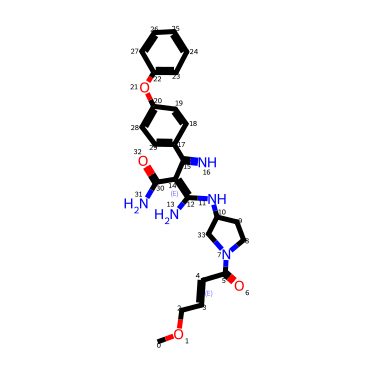 COC/C=C/C(=O)N1CCC(N/C(N)=C(\C(=N)c2ccc(Oc3ccccc3)cc2)C(N)=O)C1